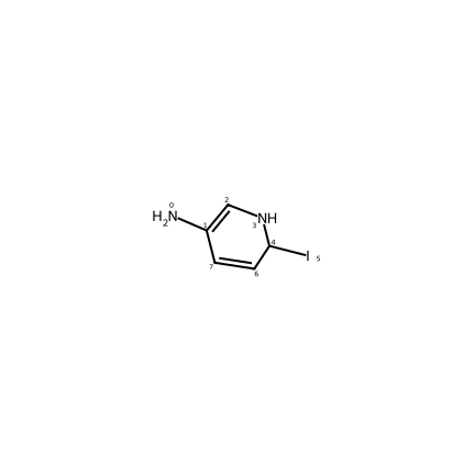 NC1=CNC(I)C=C1